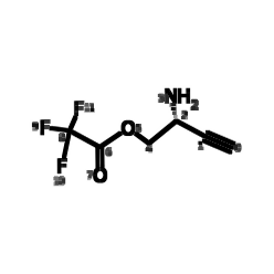 C#C[C@@H](N)COC(=O)C(F)(F)F